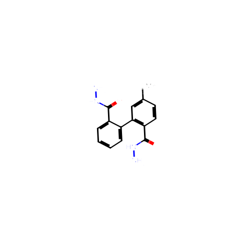 COc1ccc(C(=O)NN)c(-c2ccccc2C(=O)NN)c1